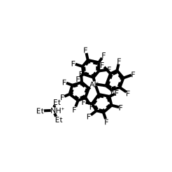 CC[NH+](CC)CC.Fc1c(F)c(F)[c]([Al-]([c]2c(F)c(F)c(F)c(F)c2F)([c]2c(F)c(F)c(F)c(F)c2F)[c]2c(F)c(F)c(F)c(F)c2F)c(F)c1F